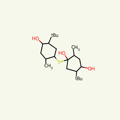 CC1CC(O)C(C(C)(C)C)CC1SC1(O)CC(C(C)(C)C)C(O)CC1C